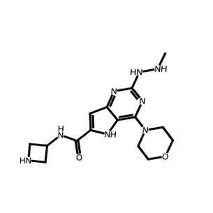 CNNc1nc(N2CCOCC2)c2[nH]c(C(=O)NC3CNC3)cc2n1